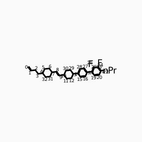 C=CCCC1CCC(/C=C/C2CCC(c3ccc(-c4ccc(CCC)c(F)c4F)cc3)CC2)CC1